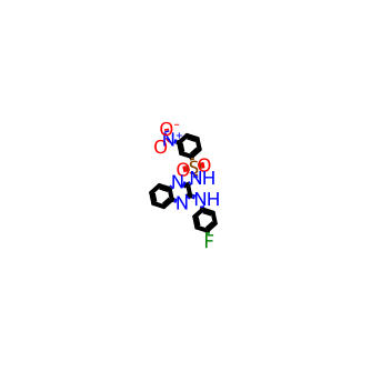 O=[N+]([O-])c1cccc(S(=O)(=O)Nc2nc3ccccc3nc2Nc2ccc(F)cc2)c1